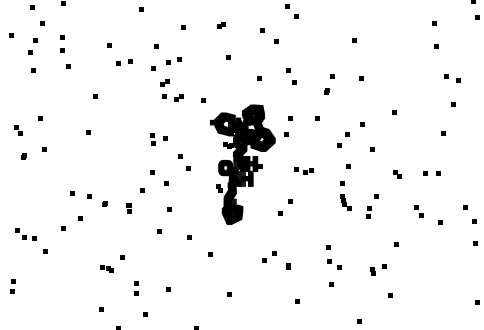 O=C(NCCCN1CCCC1)NCCOC(=O)N(c1ccccc1-c1ccccc1)N1CC[CH]CC1